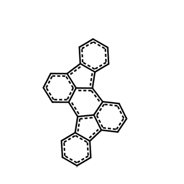 [c]1ccc2c(c1)c1cccc3c1c2c1cccc2c4ccccc4c3c21